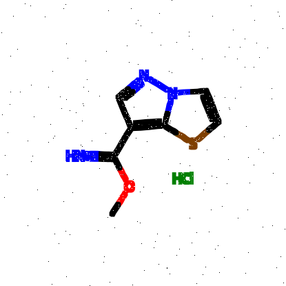 COC(=N)c1cnn2ccsc12.Cl